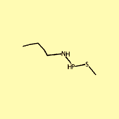 CCCNPSC